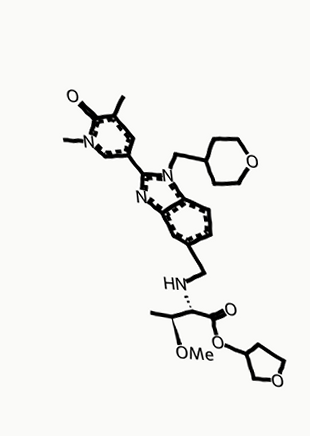 CO[C@@H](C)[C@H](NCc1ccc2c(c1)nc(-c1cc(C)c(=O)n(C)c1)n2CC1CCOCC1)C(=O)OC1CCOC1